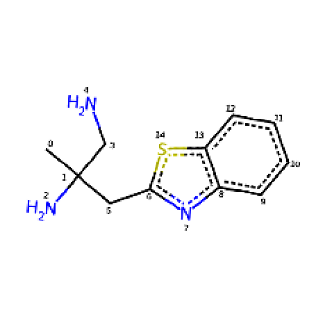 CC(N)(CN)Cc1nc2ccccc2s1